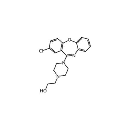 OCCN1CCN(C2=Nc3ccccc3Oc3ccc(Cl)cc32)CC1